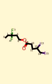 CCC(F)(F)CCOC(=O)CCC(I)CI